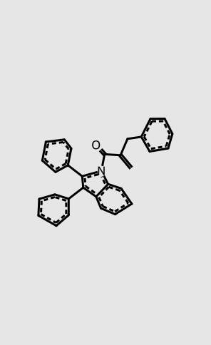 C=C(Cc1ccccc1)C(=O)n1c(-c2ccccc2)c(-c2ccccc2)c2ccccc21